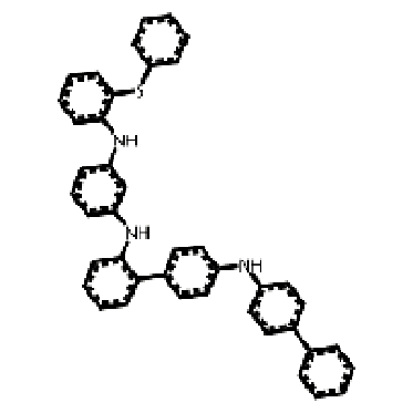 c1ccc(Sc2ccccc2Nc2cccc(Nc3ccccc3-c3ccc(Nc4ccc(-c5ccccc5)cc4)cc3)c2)cc1